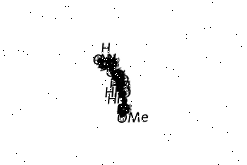 COc1ccc(CNC(=O)NC2[C@H]3Oc4ccc(Oc5ccnc6c5CCC(=O)N6)cc4[C@@H]23)cc1